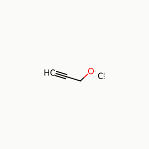 C#CC[O].[C]